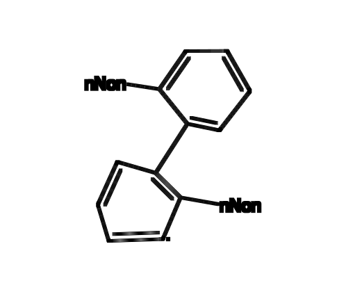 CCCCCCCCCc1[c]cccc1-c1ccccc1CCCCCCCCC